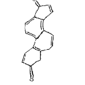 O=C1C=Cc2c(ccc3c4c(ccc23)C(=O)C=C4)C1